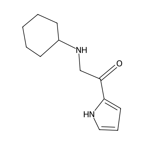 O=C(CNC1CCCCC1)c1ccc[nH]1